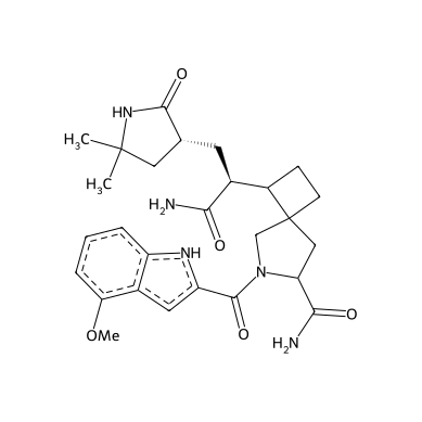 COc1cccc2[nH]c(C(=O)N3CC4(CCC4[C@H](C[C@@H]4CC(C)(C)NC4=O)C(N)=O)CC3C(N)=O)cc12